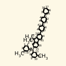 Cc1cccc(N(c2cccc(C)c2)c2ccc3c(c2)C(C)(C)c2cc(-c4ccc(-c5ccc(-c6ccccc6)cc5)cc4)ccc2-3)c1